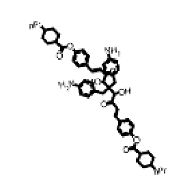 CCCC1CCC(C(=O)Oc2ccc(/C=C/C(=O)C(O)C(Cc3ccc(N)cc3)(Cc3ccc(N)cc3)C(O)C(=O)/C=C/c3ccc(OC(=O)C4CCC(CCC)CC4)cc3)cc2)CC1